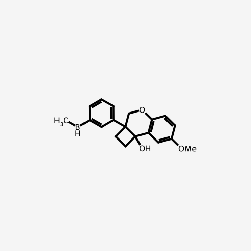 CBc1cccc(C23CCC2(O)c2cc(OC)ccc2OC3)c1